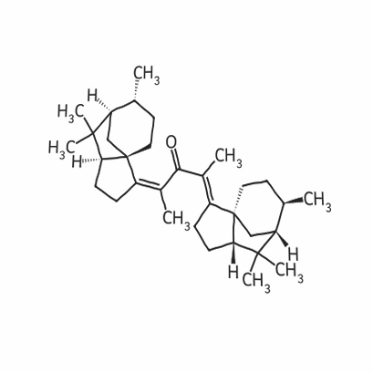 CC(C(=O)C(C)=C1CC[C@H]2C(C)(C)[C@@H]3C[C@]12CC[C@H]3C)=C1CC[C@H]2C(C)(C)[C@@H]3C[C@]12CC[C@H]3C